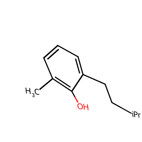 Cc1cccc(CCC(C)C)c1O